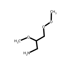 COOCC(CN)OC